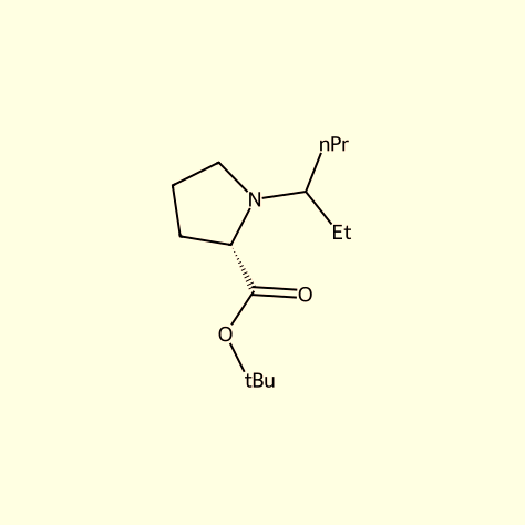 CCCC(CC)N1CCC[C@H]1C(=O)OC(C)(C)C